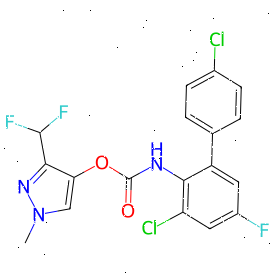 Cn1cc(OC(=O)Nc2c(Cl)cc(F)cc2-c2ccc(Cl)cc2)c(C(F)F)n1